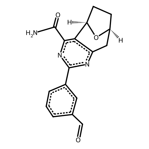 NC(=O)c1nc(-c2cccc(C=O)c2)nc2c1[C@H]1CC[C@@H](C2)O1